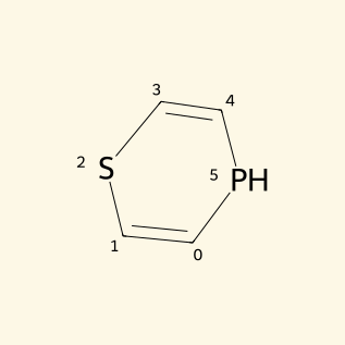 C1=CSC=CP1